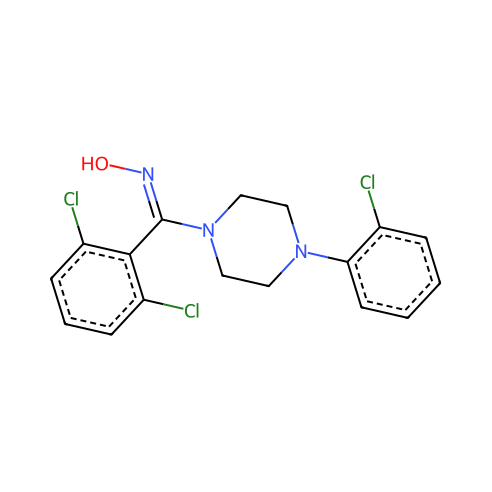 O/N=C(\c1c(Cl)cccc1Cl)N1CCN(c2ccccc2Cl)CC1